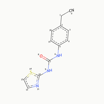 N#CCc1ccc(NC(=O)Nc2nccs2)cc1